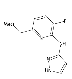 COCc1ccc(F)c(Nc2cc[nH]n2)n1